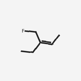 C/[C]=C(/CC)CF